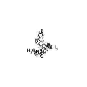 Cc1cc2c(cnn2-c2ccc(F)cc2)cc1C1CN([S+]([O-])c2cnn(C)n2)CCN1CC(C)(F)F